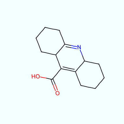 O=C(O)C1=C2CCCCC2N=C2CCCCC21